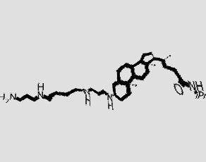 CC(C)NC(=O)CC[C@@H](C)[C@H]1CCC2C3CCC4C[C@@H](NCCCNCCCCNCCCN)CC[C@]4(C)C3CC[C@@]21C